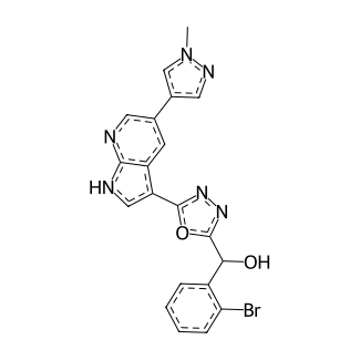 Cn1cc(-c2cnc3[nH]cc(-c4nnc(C(O)c5ccccc5Br)o4)c3c2)cn1